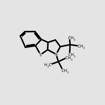 CC(C)(C)C1CC2c3ccccc3SC2N1C(C)(C)C